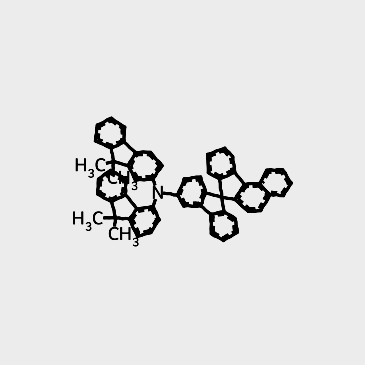 CC1(C)c2ccccc2-c2ccc(N(c3ccc4c(c3)-c3ccccc3C43c4ccccc4-c4c3ccc3ccccc43)c3cccc4c3-c3ccccc3C4(C)C)cc21